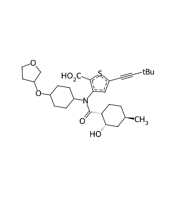 C[C@@H]1CC[C@@H](C(=O)N(c2cc(C#CC(C)(C)C)sc2C(=O)O)C2CCC(OC3CCOC3)CC2)[C@@H](O)C1